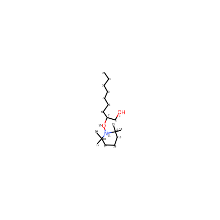 CCCCCCCC(CO)ON1C(C)(C)CCCC1(C)C